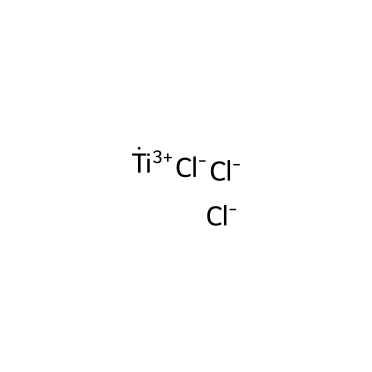 [Cl-].[Cl-].[Cl-].[Ti+3]